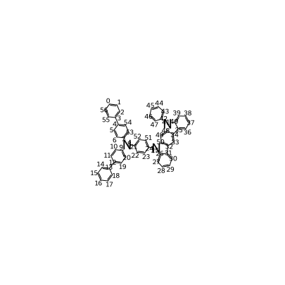 c1ccc(-c2ccc(N(c3ccc(-c4ccccc4)cc3)c3ccc(-n4c5ccccc5c5cc6c7ccccc7n(-c7ccccc7)c6cc54)cc3)cc2)cc1